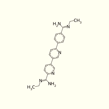 CC/N=C(\N)c1ccc(-c2ccc(-c3ccc(/C(N)=N/CC)nc3)cn2)cc1